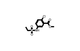 CCS(=O)(=O)Nc1ccc(Cl)c(C(=O)OC)c1